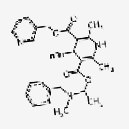 CCCCC1C(C(=O)OCc2cccnc2)=C(C)NC(C)=C1C(=O)OC(C)N(C)Cc1ccccc1